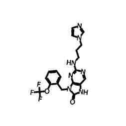 O=c1[nH]c2cnc(NCCCn3ccnc3)nc2n1Cc1ccccc1OC(F)(F)F